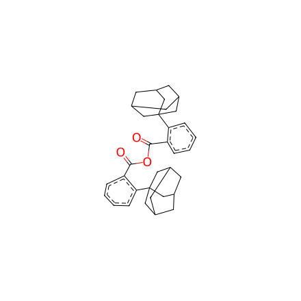 O=C(OC(=O)c1ccccc1C12CC3CC(CC(C3)C1)C2)c1ccccc1C12CC3CC(CC(C3)C1)C2